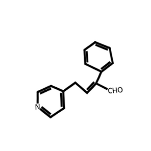 O=CC(=CCc1ccncc1)c1ccccc1